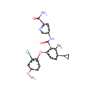 Cc1c(C2CC2)ccc(Oc2ccc(OC(F)(F)F)cc2Cl)c1C(=O)Nc1ccc(C(N)=O)nc1